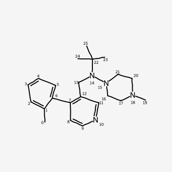 Cc1ccccc1-c1ccncc1CN(N1CCN(C)CC1)C(C)(C)C